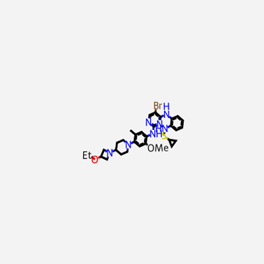 CCOC1CN(C2CCN(c3cc(OC)c(Nc4ncc(Br)c(Nc5ccccc5NSC5CC5)n4)cc3C)CC2)C1